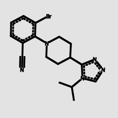 CC(C)n1cnnc1C1CCN(c2c(Br)cccc2C#N)CC1